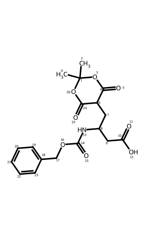 CC1(C)OC(=O)C(CC(CC(=O)O)NC(=O)OCc2ccccc2)C(=O)O1